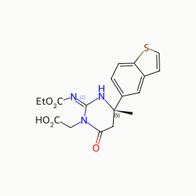 CCOC(=O)/N=C1/N[C@](C)(c2ccc3sccc3c2)CC(=O)N1CC(=O)O